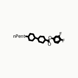 CCCCCC1CCC(C2CCC(C(=O)Oc3ccc(F)c(F)c3)CC2)CC1